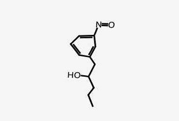 CCCC(O)Cc1cccc(N=O)c1